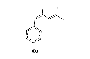 CC(C)=CC(C)=Cc1ccc(C(C)(C)C)cc1